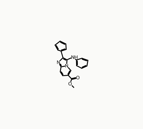 COC(=O)c1ccc2nc(-c3ccccc3)c(Nc3ccccc3)n2c1